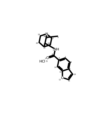 CC1C(NC(=O)c2ccc3ccoc3c2)C2CCN1CC2.Cl